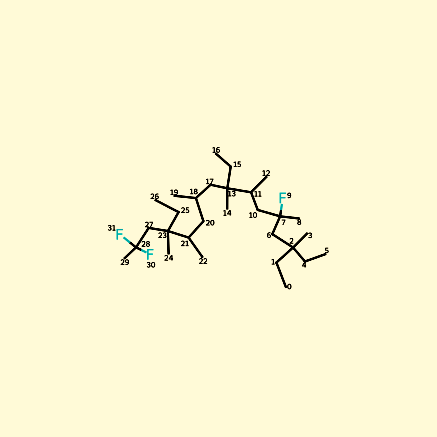 CCC(C)(CC)CC(C)(F)CC(C)C(C)(CC)CC(C)CC(C)C(C)(CC)CC(C)(F)F